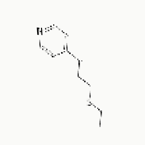 CCSCC[CH]c1ccncc1